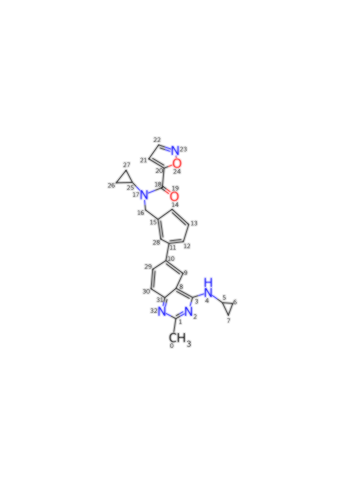 Cc1nc(NC2CC2)c2cc(-c3cccc(CN(C(=O)c4ccno4)C4CC4)c3)ccc2n1